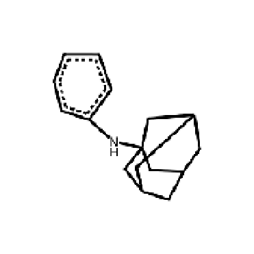 c1ccc(NC23CC4CC(CC(C4)C2)C3)cc1